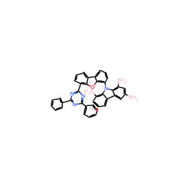 Bc1cc(B)c2c(c1)c1cc(B)cc(B)c1n2-c1cccc2c1oc1c(-c3nc(-c4ccccc4)nc(-c4ccccc4)n3)cccc12